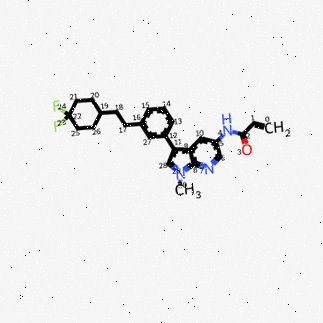 C=CC(=O)Nc1cnc2c(c1)c(-c1cccc(CCC3CCC(F)(F)CC3)c1)cn2C